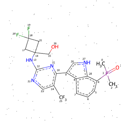 CP(C)(=O)c1cccc2c(-c3nc(NC4(CO)CC(F)(F)C4)ncc3C(F)(F)F)c[nH]c12